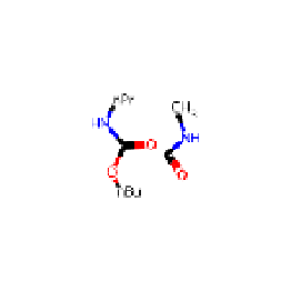 CCCCOC(=O)NCCC.CNC=O